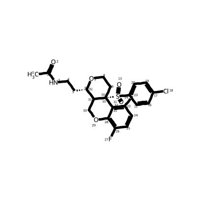 CC(=O)NCC[C@@H]1OCC[C@@]2(S(=O)(=O)c3ccc(Cl)cc3)c3c(F)ccc(F)c3OCC12